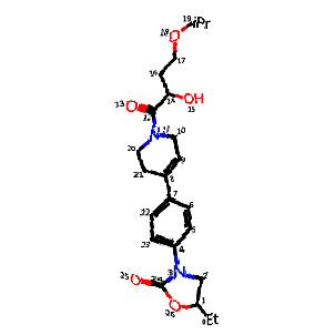 CCC1CN(c2ccc(C3=CCN(C(=O)C(O)CCOC(C)C)CC3)cc2)C(=O)O1